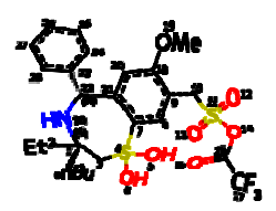 CCCC[C@]1(CC)CS(O)(O)c2cc(CS(=O)(=O)OC(=O)C(F)(F)F)c(OC)cc2[C@@H](c2ccccc2)N1